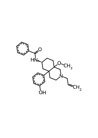 C=CCN1CCC2(c3cccc(O)c3)C[C@@H](NC(=O)c3ccccc3)CCC2(OC)C1